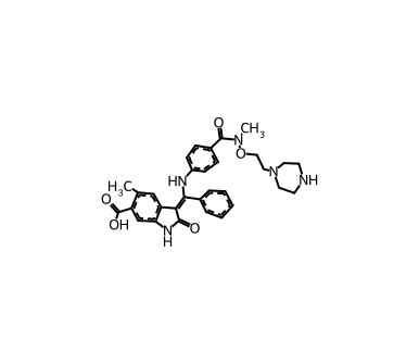 Cc1cc2c(cc1C(=O)O)NC(=O)C2=C(Nc1ccc(C(=O)N(C)OCCN2CCNCC2)cc1)c1ccccc1